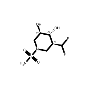 NS(=O)(=O)N1C[C@@H](O)[C@H](O)[C@@H](C(F)F)C1